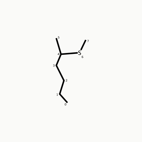 CCCCC(C)SC